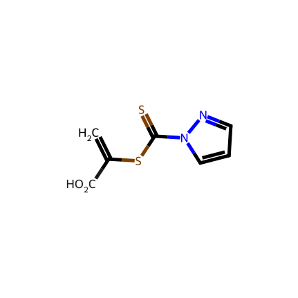 C=C(SC(=S)n1cccn1)C(=O)O